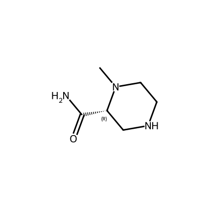 CN1CCNC[C@@H]1C(N)=O